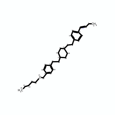 CC/C=C/c1ccc(CCC2CCC(CCc3ccc(COCCCCC)cc3)CC2)cc1